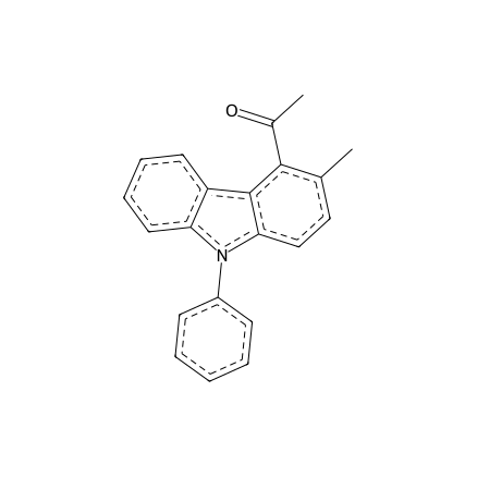 CC(=O)c1c(C)ccc2c1c1ccccc1n2-c1ccccc1